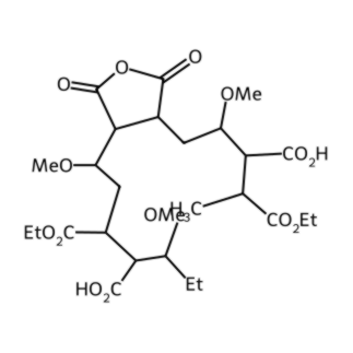 CCOC(=O)C(C)C(C(=O)O)C(CC1C(=O)OC(=O)C1C(CC(C(=O)OCC)C(C(=O)O)C(CC)OC)OC)OC